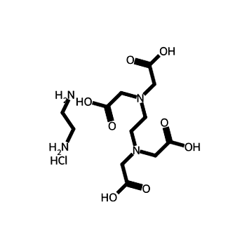 Cl.NCCN.O=C(O)CN(CCN(CC(=O)O)CC(=O)O)CC(=O)O